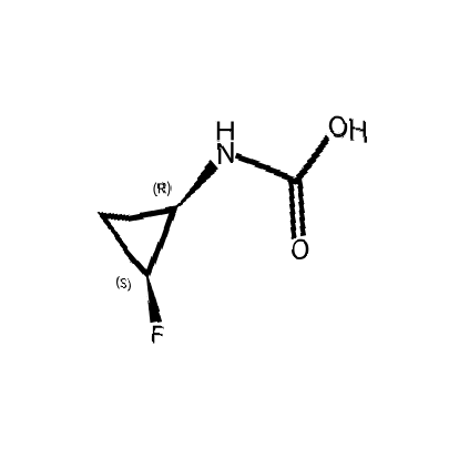 O=C(O)N[C@@H]1C[C@@H]1F